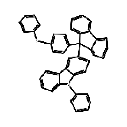 c1ccc(Sc2ccc(C3(c4ccc5c(c4)c4ccccc4n5-c4ccccc4)c4ccccc4-c4ccccc43)cc2)cc1